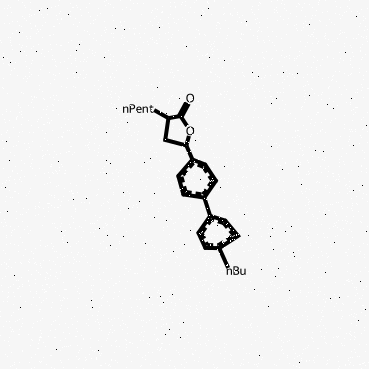 CCCCCC1CC(c2ccc(-c3ccc(CCCC)cc3)cc2)OC1=O